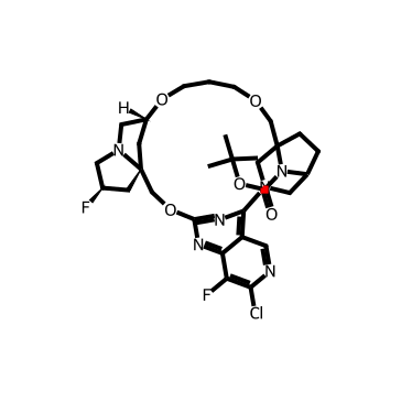 CC(C)(C)OC(=O)N1C2CCC13COCCCO[C@H]1CN4C[C@H](F)C[C@]4(COc4nc(c5cnc(Cl)c(F)c5n4)N(C2)C3)C1